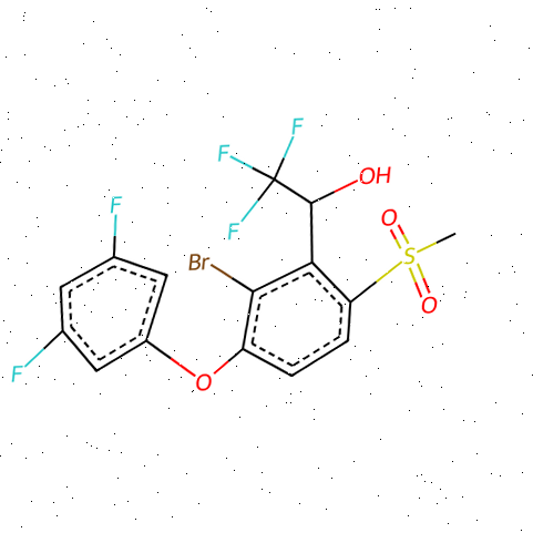 CS(=O)(=O)c1ccc(Oc2cc(F)cc(F)c2)c(Br)c1C(O)C(F)(F)F